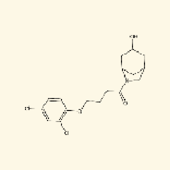 O=C(CCCOc1ccc(Cl)cc1Cl)N1CC2CC(O)CC1C2